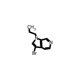 CCCn1cc(Br)c2ccncc21